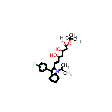 CC(C)n1c(C=C[C@@H](O)C[C@@H](O)CC(=O)OC(C)(C)C)c(-c2ccc(F)cc2)c2ccccc21